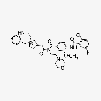 COc1cc(C(=O)N(CCN2CCOCC2)C(=O)C=C2CC[C@@]3(CCNc4ccccc4C3)C2)ccc1NC(=O)c1cc(F)ccc1Cl